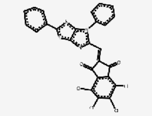 O=C1C(=Cc2nc3sc(-c4ccccc4)nc3n2-c2ccccc2)C(=O)c2c(Cl)c(Cl)c(Cl)c(Cl)c21